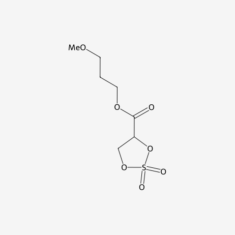 COCCCOC(=O)C1COS(=O)(=O)O1